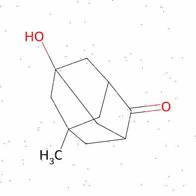 CC12CC3CC(O)(CC(C1)C3=O)C2